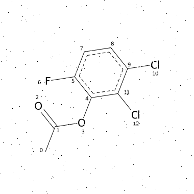 CC(=O)Oc1c(F)ccc(Cl)c1Cl